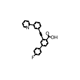 O=C(O)c1ccc(-c2ccc(F)cc2)cc1C#Cc1cccc(-c2ccccn2)c1